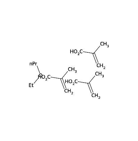 C=C(C)C(=O)O.C=C(C)C(=O)O.C=C(C)C(=O)O.CCCOCC